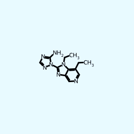 CCc1cncc2nc(-n3ncnc3N)n(CC)c12